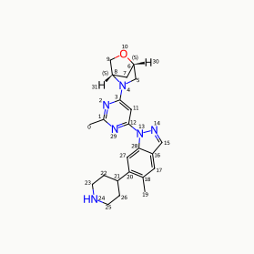 Cc1nc(N2C[C@@H]3C[C@H]2CO3)cc(-n2ncc3cc(C)c(C4CCNCC4)cc32)n1